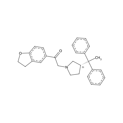 CC(c1ccccc1)(c1ccccc1)[C@@H]1CCN(CC(=O)c2ccc3c(c2)CCO3)C1